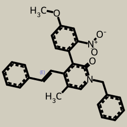 COc1ccc(-c2c(/C=C/c3ccccc3)c(C)cn(Cc3ccccc3)c2=O)c([N+](=O)[O-])c1